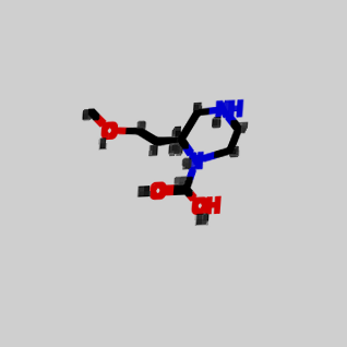 COCC[C@H]1CNCCN1C(=O)O